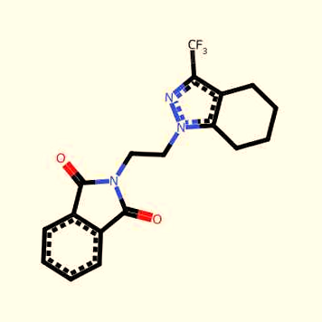 O=C1c2ccccc2C(=O)N1CCn1nc(C(F)(F)F)c2c1CCCC2